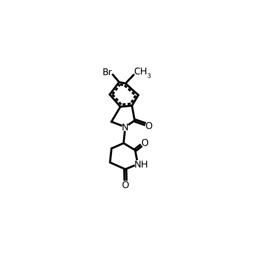 Cc1cc2c(cc1Br)CN(C1CCC(=O)NC1=O)C2=O